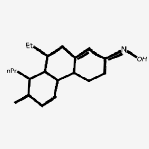 CCCC1C(C)CCC2C3CC/C(=N\O)C=C3CC(CC)C12